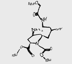 CCCC(CNC(=O)COC)C[C@@H]1[C@H](N)C[C@H](C(=O)OC(C)(C)C)N1C(=O)OC(C)(C)C